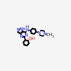 CN1CCN(c2ccc(Nc3nc(-c4ccccc4O)nc4cn[nH]c34)cc2)CC1